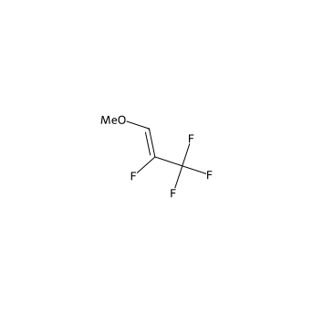 COC=C(F)C(F)(F)F